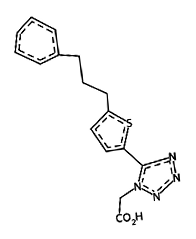 O=C(O)Cn1nnnc1-c1ccc(CCCc2ccccc2)s1